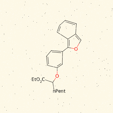 CCCCCC(Oc1cccc(-c2occ3ccccc23)c1)C(=O)OCC